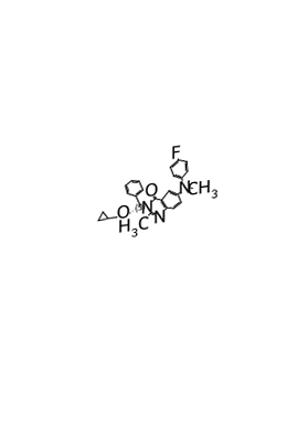 Cc1nc2ccc(N(C)c3ccc(F)cc3)cc2c(=O)n1[C@H](COCC1CC1)c1ccccc1